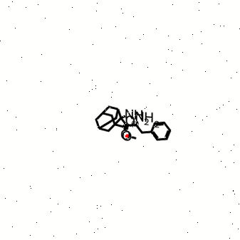 COC(=O)C12CC3CC(CC(C3)C1(N)C(=O)[C@@H](N)Cc1ccccc1)C2